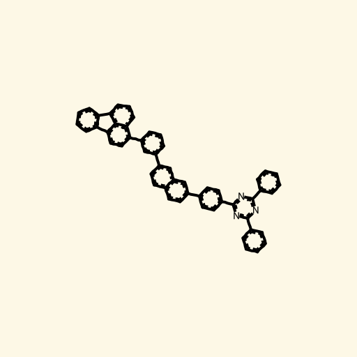 c1ccc(-c2nc(-c3ccccc3)nc(-c3ccc(-c4ccc5ccc(-c6cccc(-c7ccc8c9c(cccc79)-c7ccccc7-8)c6)cc5c4)cc3)n2)cc1